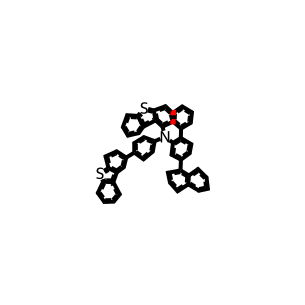 c1ccc(-c2ccc(-c3cccc4ccccc34)cc2N(c2ccc(-c3ccc4sc5ccccc5c4c3)cc2)c2cccc3sc4ccccc4c23)cc1